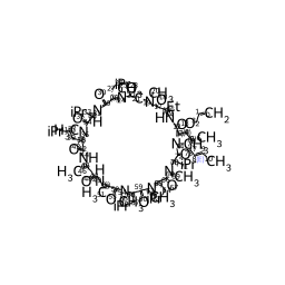 C=CCO[C@H]([C@H](C)C/C=C/C)[C@H]1C(=O)N[C@@H](CC)C(=O)N(C)CC(=O)N(C)[C@@H](CC(C)C)C(=O)N[C@H](C(C)C)C(=O)N(C)[C@H](CCC(C)C)C(=O)N[C@H](C)C(=O)N[C@@H](C)C(=O)N(C)[C@H](CC(C)C)C(=O)N(C)[C@H](CC(C)C)C(=O)N(C)[C@H](C(C)C)C(=O)N1C